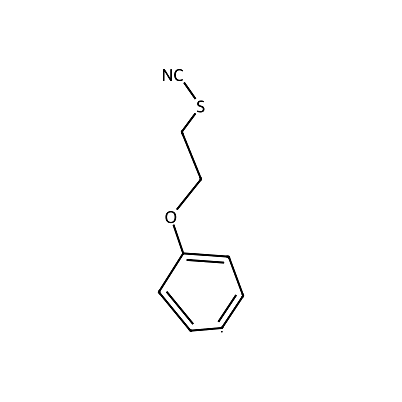 N#CSCCOc1cc[c]cc1